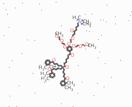 CC[N+](CC)(CC)CCCCC(=O)CCOCCOc1c(OCCOCCOC)cc(C(=O)CCCCCC(=O)C(CCCCC(=O)c2cccc(C)c2C)(CCCCC(=O)c2cccc(C)c2C)CCCCC(=O)c2cccc(C)c2C)cc1OCCOCCOC